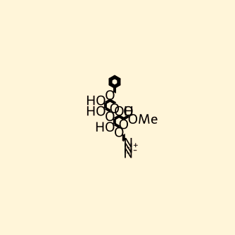 COC(=O)C1O[C@@H](OCCN=[N+]=[N-])C(O)C(O[C@H]2OC[C@@H](OCc3ccccc3)C(O)C2O)[C@@H]1O